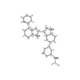 CC(C)Nc1cncc(-c2ccc3[nH]nc(-c4cc5c(-c6ccccn6)cccc5[nH]4)c3c2)c1